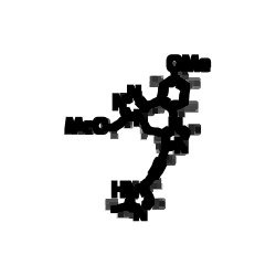 COCc1nnc2n1Cc1c(C#Cc3cnc(C)[nH]3)ncn1-c1ccc(OC)cc1-2